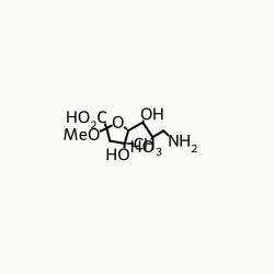 COC1(C(=O)O)C[C@@](C)(O)[C@H]([C@H](O)[C@H](O)CN)O1